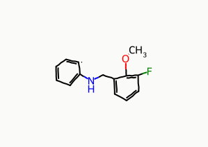 COc1c(F)cccc1CNc1[c]cccc1